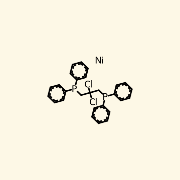 ClC(Cl)(CP(c1ccccc1)c1ccccc1)CP(c1ccccc1)c1ccccc1.[Ni]